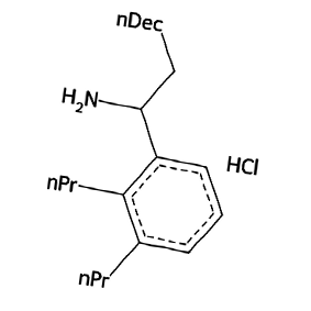 CCCCCCCCCCCC(N)c1cccc(CCC)c1CCC.Cl